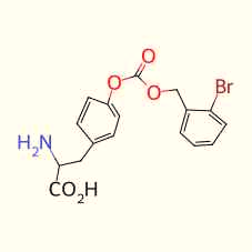 NC(Cc1ccc(OC(=O)OCc2ccccc2Br)cc1)C(=O)O